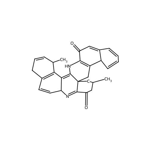 CC1CC(=O)C2=NC3C=CC4=C(C3=C3NC5=C(CC23C1)C1C=CC=CC1=CC5=O)C(C)C=CC4